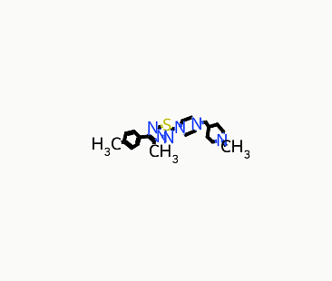 Cc1ccc(-c2nc3sc(N4CCN(CC5CCN(C)CC5)CC4)nn3c2C)cc1